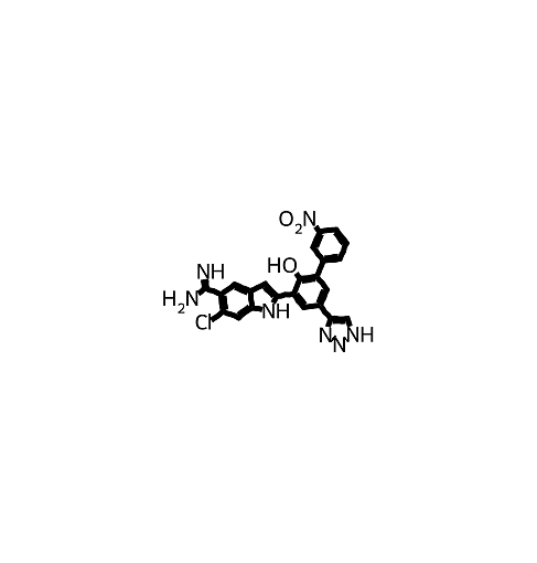 N=C(N)c1cc2cc(-c3cc(-c4c[nH]nn4)cc(-c4cccc([N+](=O)[O-])c4)c3O)[nH]c2cc1Cl